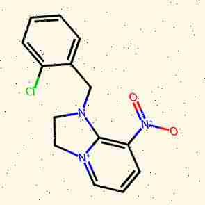 O=[N+]([O-])c1ccc[n+]2c1N(Cc1ccccc1Cl)CC2